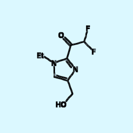 CCn1cc(CO)nc1C(=O)C(F)F